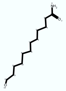 NC(=O)CCCCCCCCCCC[O]